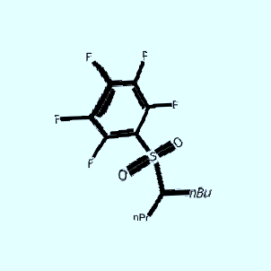 CCCCC(CCC)S(=O)(=O)c1c(F)c(F)c(F)c(F)c1F